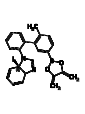 C=C1OB(c2ccc(C)c(-c3ccccc3N3C=NC4C=CC=C[C@@]43I)c2)OC1=C